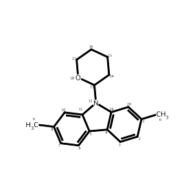 Cc1ccc2c3ccc(C)cc3n(C3CCCCO3)c2c1